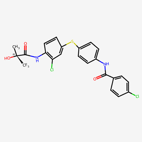 C[C@@](O)(C(=O)Nc1ccc(Sc2ccc(NC(=O)c3ccc(Cl)cc3)cc2)cc1Cl)C(F)(F)F